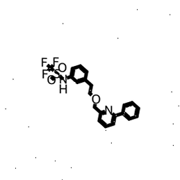 O=S(=O)(Nc1cccc(CCOCc2cccc(-c3ccccc3)n2)c1)C(F)(F)F